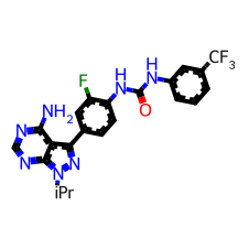 CC(C)n1nc(-c2ccc(NC(=O)Nc3cccc(C(F)(F)F)c3)c(F)c2)c2c(N)ncnc21